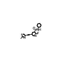 Cc1nc(C#Cc2cnc(F)c(C(=O)Nc3ccccc3)c2)cs1